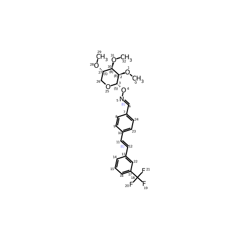 CO[C@H]1[C@H](O/N=C/c2ccc(/C=C/c3cccc(C(F)(F)F)c3)cc2)OC[C@H](OC)[C@H]1OC